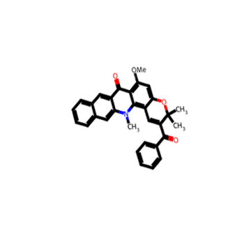 COc1cc2c(c3c1c(=O)c1cc4ccccc4cc1n3C)C=C(C(=O)c1ccccc1)C(C)(C)O2